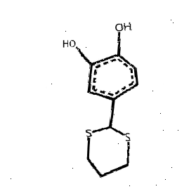 Oc1ccc(C2SCCCS2)cc1O